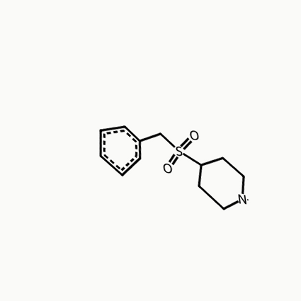 O=S(=O)(Cc1ccccc1)C1CC[N]CC1